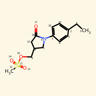 CCc1ccc(N2CC(COS(C)(=O)=O)CC2=O)cc1